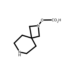 O=C(O)ON1CC2(CCNCC2)C1